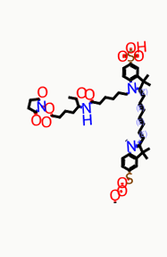 COOOSc1ccc2c(c1)C(C)(C)C(/C=C/C=C/C=C/C=C1\N(CCCCCC(=O)NC(CCCC(=O)ON3C(=O)CCC3=O)C(C)=O)c3ccc(S(=O)(=O)O)cc3C1(C)C)=[N+]2C